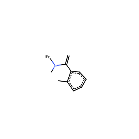 C=C(c1ccccc1C)N(C)C(C)C